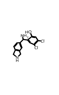 NC(c1ccc2c(c1)CNC2)c1cc(Cl)c(Cl)cc1O